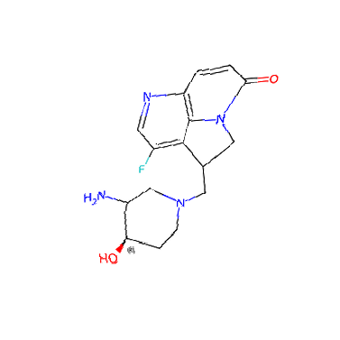 NC1CN(CC2Cn3c(=O)ccc4ncc(F)c2c43)CC[C@H]1O